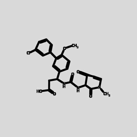 COc1ccc(C(CC(=O)O)NC(=O)NC2C(=O)C=CN(C)C2=O)cc1-c1cccc(Cl)c1